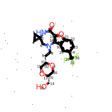 O=C1NC2(CC2)CN(CC[C@H]2CO[C@@H](CO)CO2)c2c1oc1ccc(C(F)(F)F)cc21